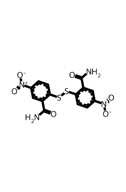 NC(=O)c1cc([N+](=O)[O-])ccc1SSc1ccc([N+](=O)[O-])cc1C(N)=O